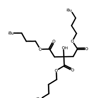 CCC(C)CCCOC(=O)CC(O)(CC(=O)OCCCC(C)CC)C(=O)OCCCC(C)CC